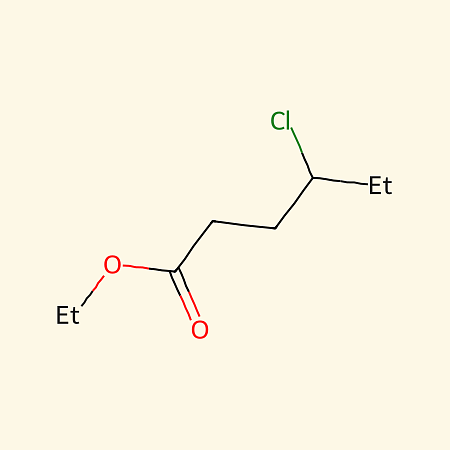 CCOC(=O)CCC(Cl)CC